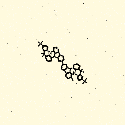 Cc1ccc2c3c1N1c4ccc(C(C)(C)C)cc4C(C)(C)c4cccc(c41)C3(C)c1cc(-c3ccc4c(c3)C3(C)c5cccc6c5N(c5ccc(C(C)(C)C)cc5C6(C)C)c5cccc-4c53)ccc1-2